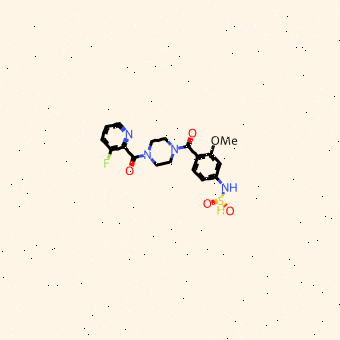 COc1cc(N[SH](=O)=O)ccc1C(=O)N1CCN(C(=O)c2ncccc2F)CC1